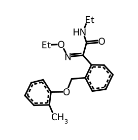 CCNC(=O)/C(=N\OCC)c1ccccc1COc1ccccc1C